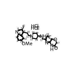 COc1ccc2ncc(F)c(CCN3CCC(NCc4ccc5c(n4)NC(=O)CO5)CC3)c2c1.Cl.Cl